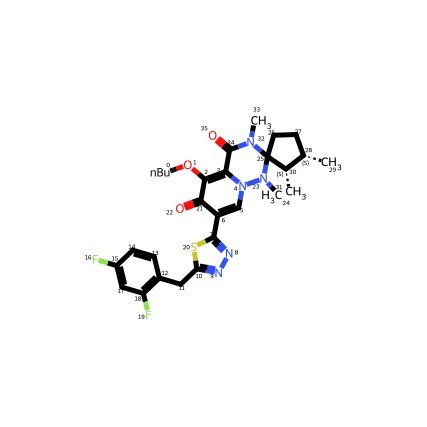 CCCCOc1c2n(cc(-c3nnc(Cc4ccc(F)cc4F)s3)c1=O)N(C)C1(CC[C@H](C)[C@@H]1C)N(C)C2=O